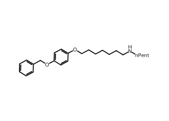 CCCCCNCCCCCCCOc1ccc(OCc2ccccc2)cc1